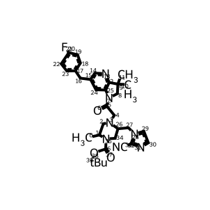 CC1CN(CC(=O)N2CC(C)(C)c3ncc(Cc4ccc(F)cc4)cc32)C(Cn2ccnc2C#N)CN1C(=O)OC(C)(C)C